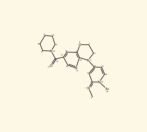 C/N=c1/cc(N2CCOc3cc(C(=O)N4CCCCC4)cnc32)ccn1C(C)=O